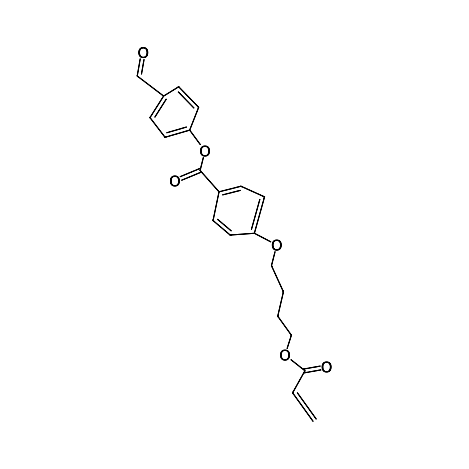 C=CC(=O)OCCCCOc1ccc(C(=O)Oc2ccc(C=O)cc2)cc1